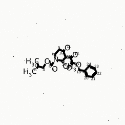 CC(C)COC(=O)N1CCC(=O)C(C(=O)C(=O)OCc2ccccc2)C1C